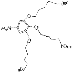 CCCCCCCCCCCCCCOc1cc(N)cc(OCCCCCCCCCCCCCC)c1OCCCCCCCCCCCCCC